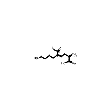 C=C(CC=C(CCCCC)C(=O)O)C(=O)O